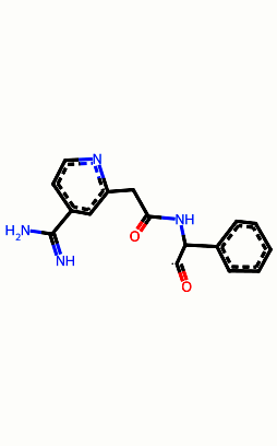 N=C(N)c1ccnc(CC(=O)NC([C]=O)c2ccccc2)c1